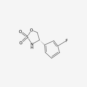 O=S1(=O)N[C@@H](c2cccc(F)c2)CO1